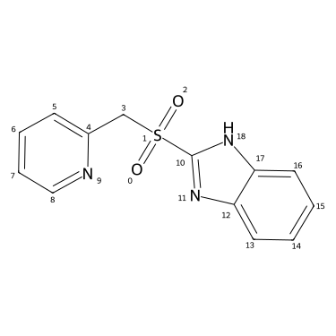 O=S(=O)(Cc1ccccn1)c1nc2ccccc2[nH]1